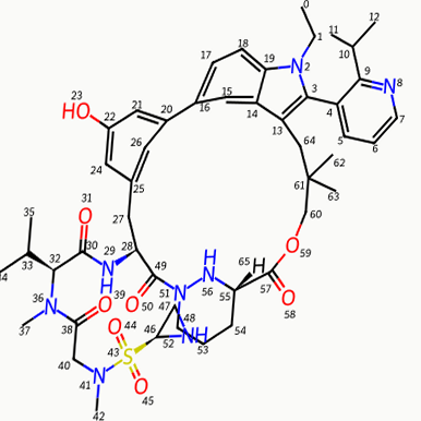 CCn1c(-c2cccnc2C(C)C)c2c3cc(ccc31)-c1cc(O)cc(c1)C[C@H](NC(=O)[C@H](C(C)C)N(C)C(=O)CN(C)S(=O)(=O)[C@H]1CN1)C(=O)N1CCC[C@H](N1)C(=O)OCC(C)(C)C2